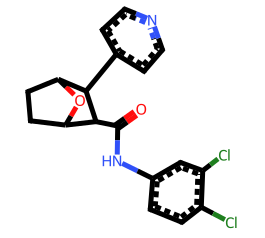 O=C(Nc1ccc(Cl)c(Cl)c1)C1C2CCC(O2)C1c1ccncc1